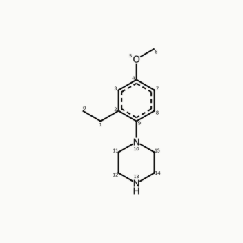 CCc1cc(OC)ccc1N1CCNCC1